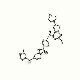 Cc1cc(Nc2ccc3[nH]c(-c4ccc(Nc5cc(C)nc6ccc(N7CCOCC7)cc56)cc4)nc3c2)ccn1